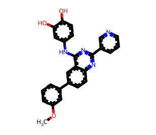 COc1cccc(-c2ccc3nc(-c4cccnc4)nc(Nc4ccc(O)c(O)c4)c3c2)c1